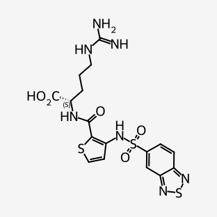 N=C(N)NCCC[C@H](NC(=O)c1sccc1NS(=O)(=O)c1ccc2nsnc2c1)C(=O)O